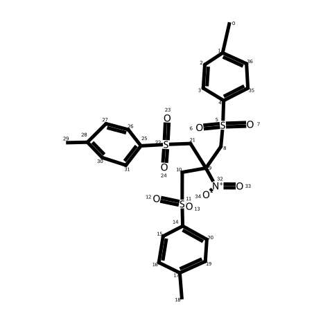 Cc1ccc(S(=O)(=O)CC(CS(=O)(=O)c2ccc(C)cc2)(CS(=O)(=O)c2ccc(C)cc2)[N+](=O)[O-])cc1